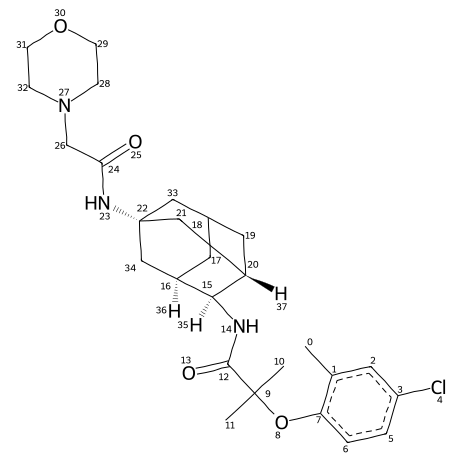 Cc1cc(Cl)ccc1OC(C)(C)C(=O)N[C@H]1[C@@H]2CC3C[C@H]1C[C@](NC(=O)CN1CCOCC1)(C3)C2